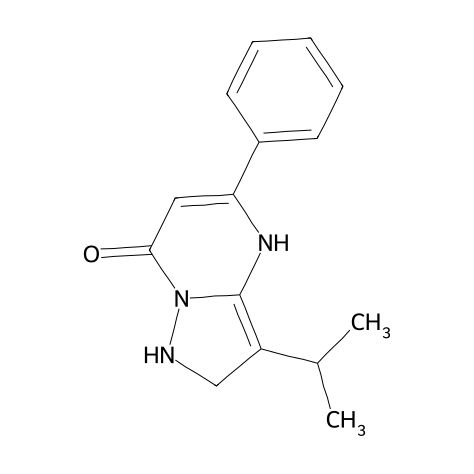 CC(C)C1=C2NC(c3ccccc3)=CC(=O)N2NC1